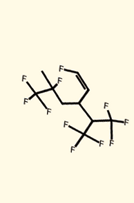 CC(F)(CC(/C=C\F)C(C(F)(F)F)C(F)(F)F)C(F)(F)F